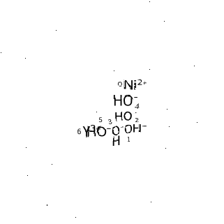 [Ni+2].[OH-].[OH-].[OH-].[OH-].[OH-].[Y+3]